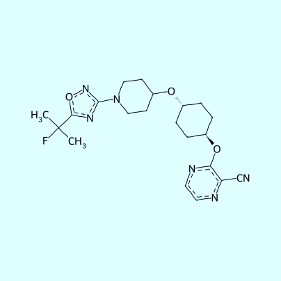 CC(C)(F)c1nc(N2CCC(O[C@H]3CC[C@H](Oc4nccnc4C#N)CC3)CC2)no1